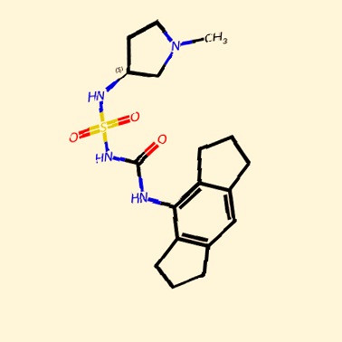 CN1CC[C@H](NS(=O)(=O)NC(=O)Nc2c3c(cc4c2CCC4)CCC3)C1